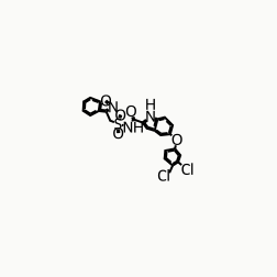 O=C(NS(=O)(=O)Cc1noc2ccccc12)c1cc2cc(Oc3ccc(Cl)c(Cl)c3)ccc2[nH]1